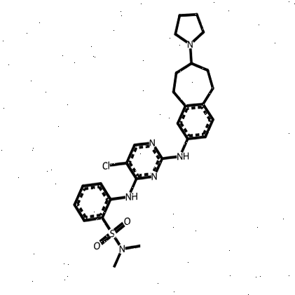 CN(C)S(=O)(=O)c1ccccc1Nc1nc(Nc2ccc3c(c2)CCC(N2CCCC2)CC3)ncc1Cl